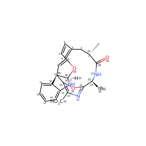 C[C@H]1Cc2ccc3c(c2)[C@@]2(c4ccccc4N[C@@H]2O3)c2oc(nc2C(=O)O)[C@H](C(C)(C)C)NC1=O